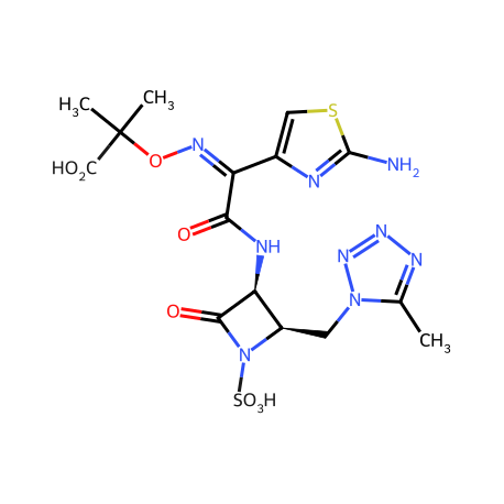 Cc1nnnn1C[C@@H]1[C@H](NC(=O)/C(=N\OC(C)(C)C(=O)O)c2csc(N)n2)C(=O)N1S(=O)(=O)O